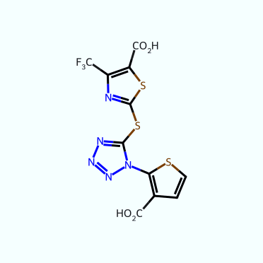 O=C(O)c1ccsc1-n1nnnc1Sc1nc(C(F)(F)F)c(C(=O)O)s1